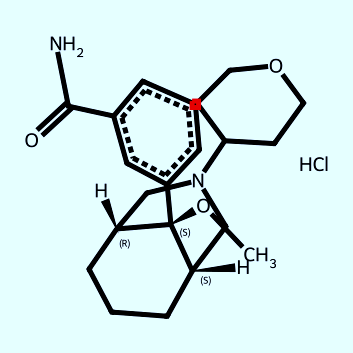 CO[C@]1(c2cccc(C(N)=O)c2)[C@@H]2CCC[C@H]1CN(C1CCOCC1)C2.Cl